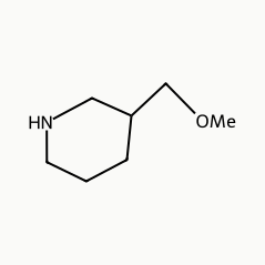 [CH2-][OH+]CC1CCCNC1